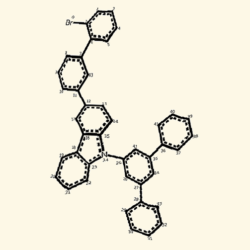 Brc1ccccc1-c1cccc(-c2ccc3c(c2)c2ccccc2n3-c2cc(-c3ccccc3)cc(-c3ccccc3)c2)c1